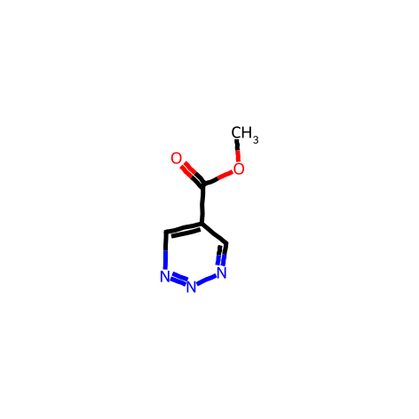 COC(=O)c1cnnnc1